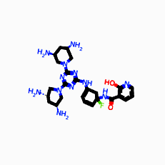 N[C@@H]1C[C@H](N)CN(c2nc(NC3=CC=CC(F)(NC(=O)c4cccnc4O)C3)nc(N3C[C@H](N)C[C@H](N)C3)n2)C1